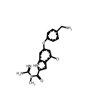 CN(C(=N)N)C(=O)c1cc2c(Cl)cc(Oc3ccc(CN)cc3)cc2[nH]1